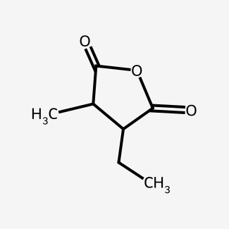 CCC1C(=O)OC(=O)C1C